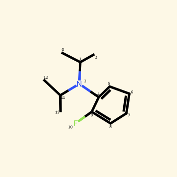 CC(C)N(c1ccccc1F)C(C)C